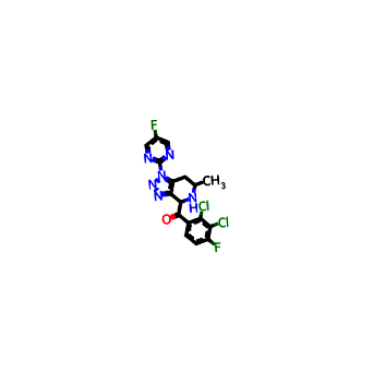 CC1Cc2c(nnn2-c2ncc(F)cn2)C(C(=O)c2ccc(F)c(Cl)c2Cl)N1